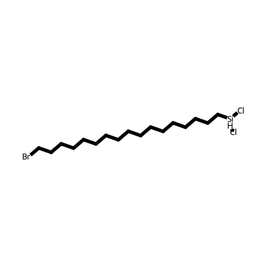 Cl[SiH](Cl)CCCCCCCCCCCCCCCCCBr